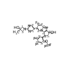 CC1(O)CN(c2ncc(-c3cn4c5c(nc4cc3F)[C@@H](O)C[C@H]5c3cc(F)c(F)cc3OC(F)F)cn2)C1